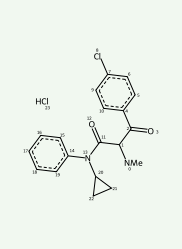 CNC(C(=O)c1ccc(Cl)cc1)C(=O)N(c1ccccc1)C1CC1.Cl